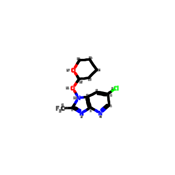 FC(F)(F)c1nc2ncc(Cl)cc2n1OC1CCCCO1